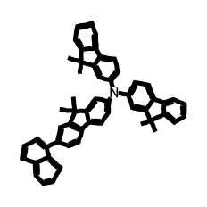 CC1(C)c2ccccc2-c2ccc(N(c3ccc4c(c3)C(C)(C)c3ccccc3-4)c3ccc4c(c3)C(C)(C)c3cc(-c5cccc6ccccc56)ccc3-4)cc21